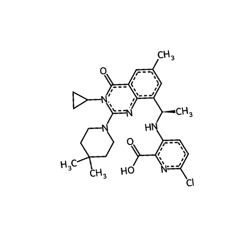 Cc1cc([C@@H](C)Nc2ccc(Cl)nc2C(=O)O)c2nc(N3CCC(C)(C)CC3)n(C3CC3)c(=O)c2c1